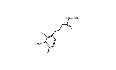 NNC(=O)CCCc1ccc(O)c(O)c1O